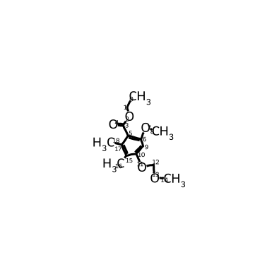 CCOC(=O)c1c(OC)cc(OCOC)c(C)c1C